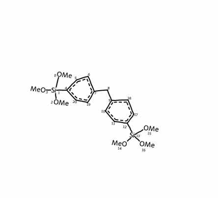 CO[Si](OC)(OC)c1ccc(Cc2ccc([Si](OC)(OC)OC)cc2)cc1